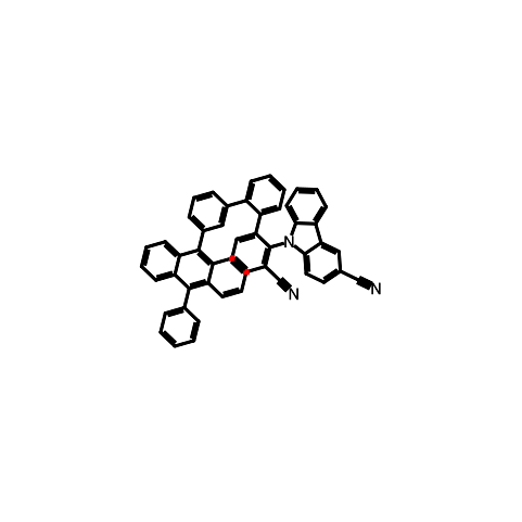 N#Cc1ccc2c(c1)c1ccccc1n2-c1c(C#N)cccc1-c1ccccc1-c1cccc(-c2c3ccccc3c(-c3ccccc3)c3ccccc23)c1